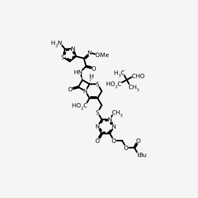 CC(C)(C=O)C(=O)O.CO/N=C(\C(=O)N[C@@H]1C(=O)N2C(C(=O)O)=C(CSc3nc(=O)c(OCOC(=O)C(C)(C)C)nn3C)CS[C@H]12)c1csc(N)n1